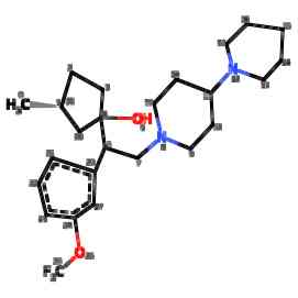 C[C@@H]1CCC(O)(C(CN2CCC(N3CCCCC3)CC2)c2cccc(OC(F)(F)F)c2)C1